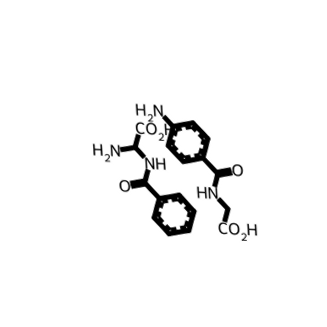 NC(NC(=O)c1ccccc1)C(=O)O.Nc1ccc(C(=O)NCC(=O)O)cc1